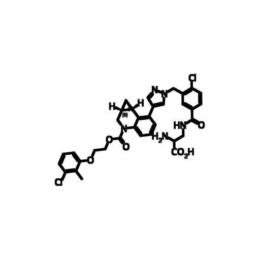 Cc1c(Cl)cccc1OCCOC(=O)N1C[C@@H]2C[C@@H]2c2c(-c3cnn(Cc4cc(C(=O)NCC(N)C(=O)O)ccc4Cl)c3)cccc21